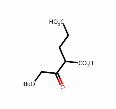 CC(C)COCC(=O)C(CCC(=O)O)C(=O)O